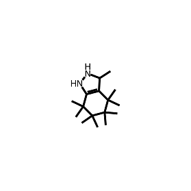 CC1NNC2=C1C(C)(C)C(C)(C)C(C)(C)C2(C)C